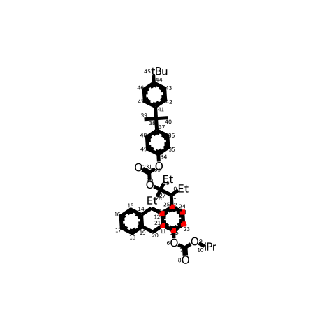 CCC(c1ccc(OC(=O)OC(C)C)c2c1C1c3ccccc3C2c2ccccc21)C(CC)(CC)OC(=O)Oc1ccc(C(C)(C)c2ccc(C(C)(C)C)cc2)cc1